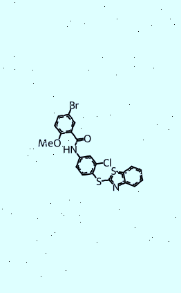 COc1ccc(Br)cc1C(=O)Nc1ccc(Sc2nc3ccccc3s2)c(Cl)c1